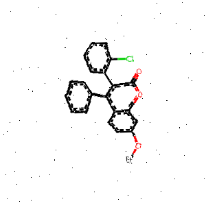 CCOc1ccc2c(-c3ccccc3)c(-c3ccccc3Cl)c(=O)oc2c1